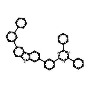 c1ccc(-c2cccc(-c3ccc4sc5cc(-c6cccc(-c7nc(-c8ccccc8)nc(-c8ccccc8)n7)c6)ccc5c4c3)c2)cc1